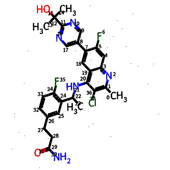 Cc1nc2cc(F)c(-c3cnc(C(C)(C)O)nc3)cc2c(NC(C)c2cc(CCC(N)=O)ccc2F)c1Cl